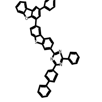 c1ccc(-c2ccc(-c3nc(-c4ccccc4)nc(-c4ccc5c(c4)sc4ccc(-c6cc(-c7ccccc7)cc7c6oc6ccccc67)cc45)n3)cc2)cc1